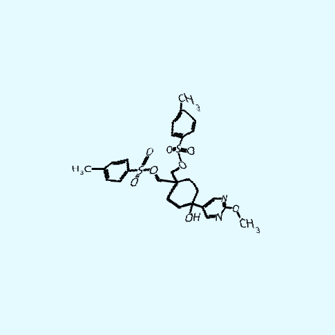 COc1ncc(C2(O)CCC(COS(=O)(=O)c3ccc(C)cc3)(COS(=O)(=O)c3ccc(C)cc3)CC2)cn1